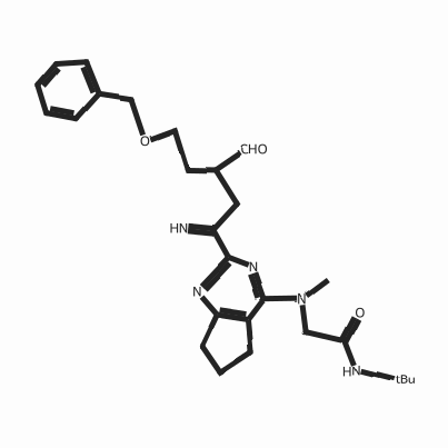 CN(CC(=O)NC(C)(C)C)c1nc(C(=N)CC(C=O)CCOCc2ccccc2)nc2c1CCC2